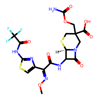 CON=C(C(=O)NC1C(=O)N2CC(COC(N)=O)(C(=O)O)CS[C@H]12)c1csc(NC(=O)C(F)(F)F)n1